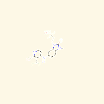 Cn1c(=O)n(CCC(C)(C)O)c2cc(Nc3ccnc(Cl)c3C(F)F)ccc21